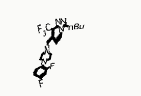 CCCCc1nnc2c(C(F)(F)F)c(CN3CCN(c4ccc(F)cc4F)CC3)ccn12